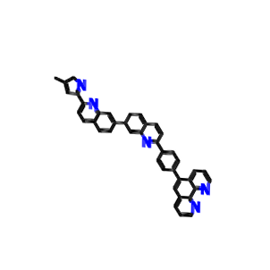 CC1=CC(c2ccc3ccc(C4C=c5nc(-c6ccc(-c7cc8cccnc8c8ncccc78)cc6)ccc5=CC4)cc3n2)=NC1